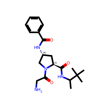 CC(NC(=O)[C@@H]1C[C@@H](NC(=O)c2ccccc2)CN1C(=O)CN)C(C)(C)C